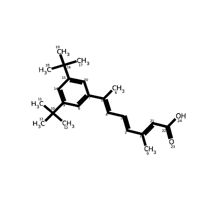 CC(C=C/C=C(\C)c1cc(C(C)(C)C)cc(C(C)(C)C)c1)=CC(=O)O